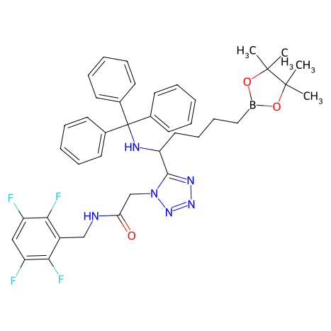 CC1(C)OB(CCCCC(NC(c2ccccc2)(c2ccccc2)c2ccccc2)c2nnnn2CC(=O)NCc2c(F)c(F)cc(F)c2F)OC1(C)C